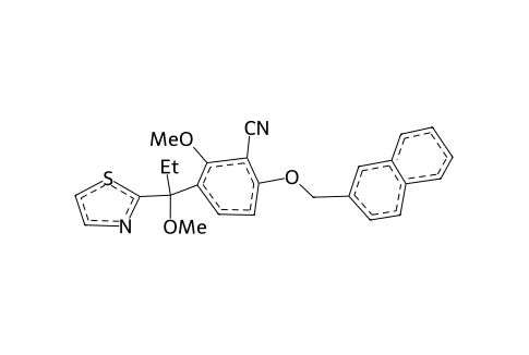 CCC(OC)(c1nccs1)c1ccc(OCc2ccc3ccccc3c2)c(C#N)c1OC